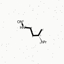 CCC[C@@H](C)CCNN=O